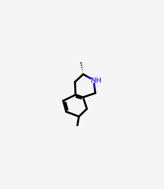 CC1C=CC2=C(CN[C@@H](C)C2)C1